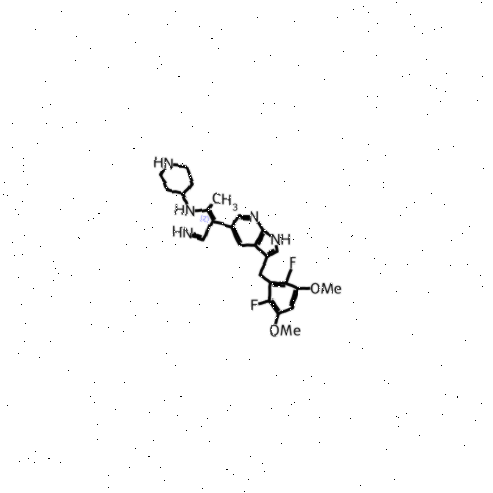 COc1cc(OC)c(F)c(Cc2c[nH]c3ncc(/C(C=N)=C(\C)NC4CCNCC4)cc23)c1F